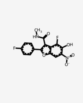 CNC(=O)c1c(-c2ccc(F)cc2)oc2cc([N+](=O)[O-])c(O)c(F)c12